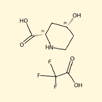 O=C(O)C(F)(F)F.O=C(O)[C@@H]1C[C@H](O)CCN1